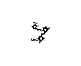 COc1cc(CCc2cc(F)ccc2OCCN2CCC(O)C2)ccc1F